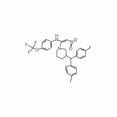 O=[N+]([O-])C=C(Nc1ccc(OC(F)(F)F)cc1)N1CCCC(C(c2ccc(F)cc2)c2ccc(F)cc2)C1